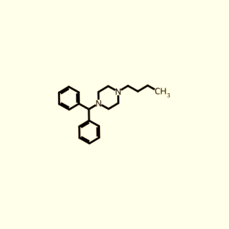 CCCCN1CCN(C(c2ccccc2)c2ccccc2)CC1